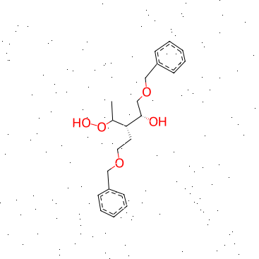 CC(OO)[C@@H](CCOCc1ccccc1)[C@@H](O)COCc1ccccc1